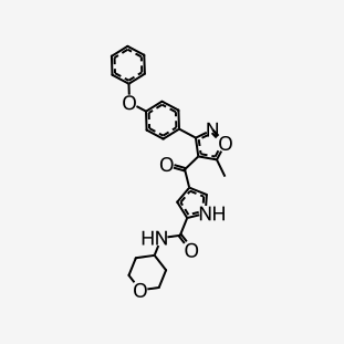 Cc1onc(-c2ccc(Oc3ccccc3)cc2)c1C(=O)c1c[nH]c(C(=O)NC2CCOCC2)c1